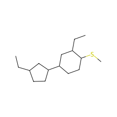 CCC1CCC(C2CCC(SC)C(CC)C2)C1